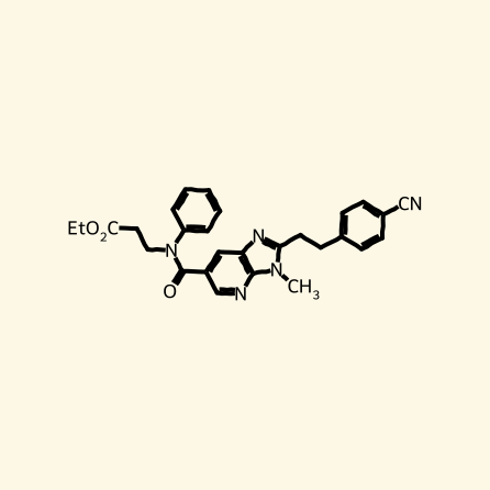 CCOC(=O)CCN(C(=O)c1cnc2c(c1)nc(CCc1ccc(C#N)cc1)n2C)c1ccccc1